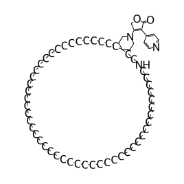 O=C1OCC(N2CCC3(CCCCCCCCCCCCCCCCCCCCCCCCCCCCCCCCCCCCCCCCCCCCCCCCNCC3)CC2)=C1c1ccncc1